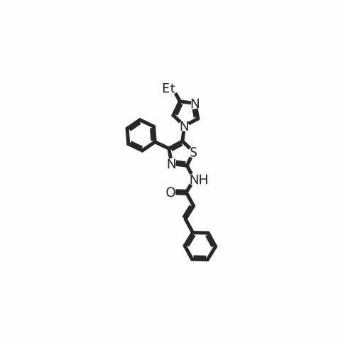 CCc1cn(-c2sc(NC(=O)C=Cc3ccccc3)nc2-c2ccccc2)cn1